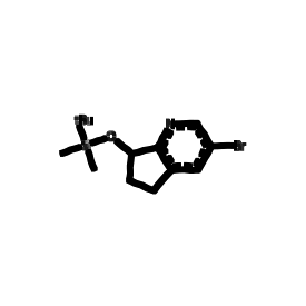 CC(C)(C)[Si](C)(C)OC1CCc2cc(Br)cnc21